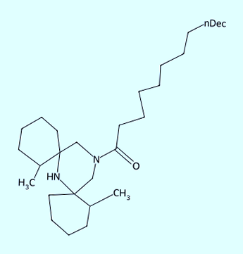 CCCCCCCCCCCCCCCCCC(=O)N1CC2(CCCCC2C)NC2(CCCCC2C)C1